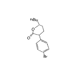 CCCCC1CCC(c2ccc(Br)cc2)C(=O)O1